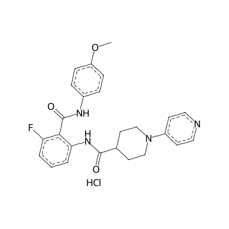 COc1ccc(NC(=O)c2c(F)cccc2NC(=O)C2CCN(c3ccncc3)CC2)cc1.Cl